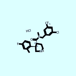 Cc1cc(F)ccc1[C@@H]1CNCC[C@H]1C(=O)N(C)Cc1cc(Cl)cc(C(F)(F)F)c1.Cl